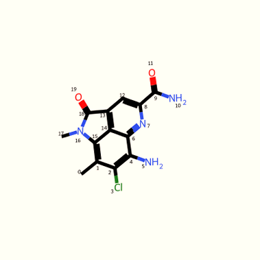 Cc1c(Cl)c(N)c2nc(C(N)=O)cc3c2c1N(C)C3=O